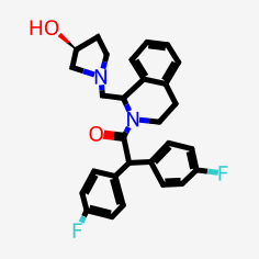 O=C(C(c1ccc(F)cc1)c1ccc(F)cc1)N1CCc2ccccc2C1CN1CC[C@H](O)C1